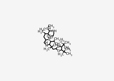 CC(C)C1C(C(C)(C)CC2OC(C(C)(C)C)C(C(C)(C)C)O2)NCC(CC(C)C2SCCNC2[SH](C)C)S1(=O)=O